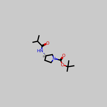 CC(C)C(=O)N[C@H]1CCN(C(=O)OC(C)(C)C)C1